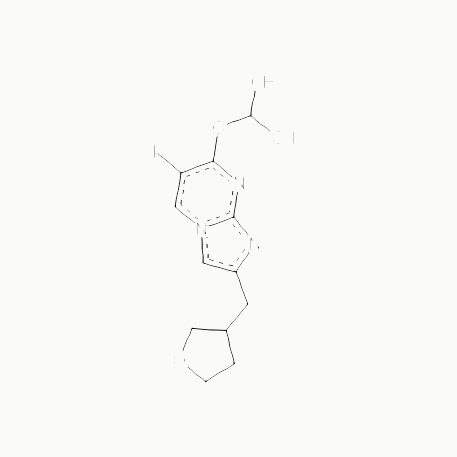 CC(C)Oc1nc2nc(CC3CCOC3)cn2cc1I